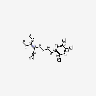 CC/C(OC)=C(\C#N)CCCCc1cc(Cl)c(Cl)cc1Cl